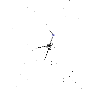 CCCCCCCC/C=C\CCCCCCCCCCCC(=O)OC[C@@H](COC(=O)CCCCCCCCCCCCCCCCC)OC(=O)CCCCCCCCCCCCCCCCC